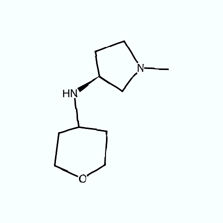 CN1CC[C@H](NC2CCOCC2)C1